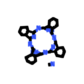 C#N.c1ccc2c(c1)-c1nc-2nc2[nH]c(nc3nc(nc4[nH]c(n1)c1ccccc41)-c1ccccc1-3)c1ccccc21